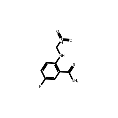 NC(=S)c1cc(F)[c]cc1NC[SH](=O)=O